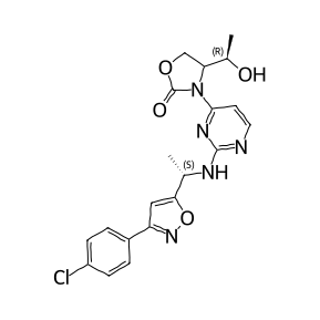 C[C@H](Nc1nccc(N2C(=O)OCC2[C@@H](C)O)n1)c1cc(-c2ccc(Cl)cc2)no1